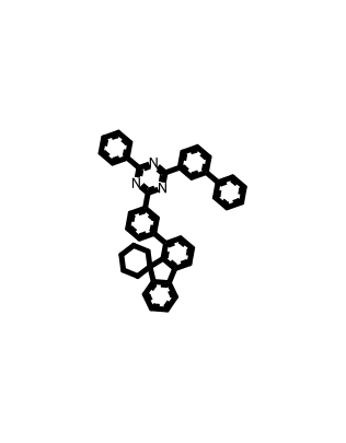 c1ccc(-c2cccc(-c3nc(-c4ccccc4)nc(-c4cccc(-c5cccc6c5C5(CCCCC5)c5ccccc5-6)c4)n3)c2)cc1